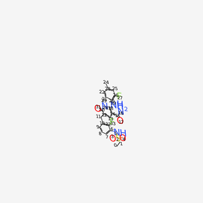 CCS(=O)(=O)Nc1cccc(Cc2cc(C(N)=O)c(Nc3ccc(C)cc3F)n(C)c2=O)c1F